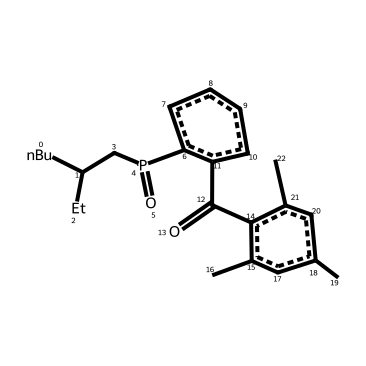 CCCCC(CC)C[P](=O)c1ccccc1C(=O)c1c(C)cc(C)cc1C